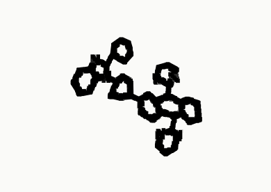 c1ccc(-c2nc3ccccc3n2-c2ccc(-c3ccc4c(-c5ncccn5)c5ccccc5c(-c5ncccn5)c4c3)cc2)cc1